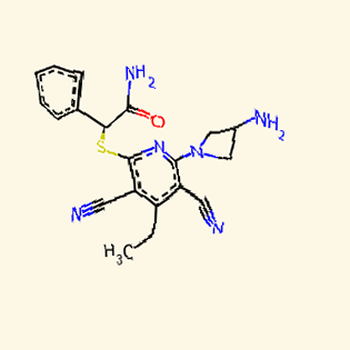 CCc1c(C#N)c(S[C@H](C(N)=O)c2ccccc2)nc(N2CC(N)C2)c1C#N